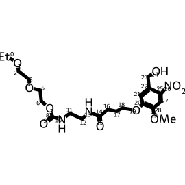 CCOCCOCCOC(=O)NCCNC(=O)CCCOc1cc(CO)c([N+](=O)[O-])cc1OC